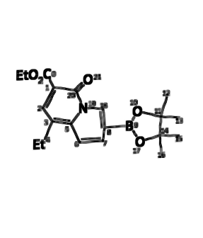 CCOC(=O)c1cc(CC)c2ccc(B3OC(C)(C)C(C)(C)O3)cn2c1=O